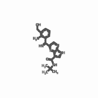 CC(C)(C)NC(=O)c1c[nH]c2ncc(C(=N)c3cccc(CO)c3N)nc12